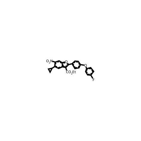 CCOC(=O)c1c(-c2ccc(Oc3ccc(F)cc3)cc2)oc2cc([N+](=O)[O-])c(C3CC3)cc12